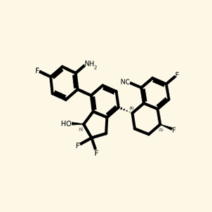 N#Cc1cc(F)cc2c1[C@@H](c1ccc(-c3ccc(F)cc3N)c3c1CC(F)(F)[C@H]3O)CC[C@@H]2F